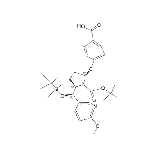 COc1ccc([C@@H](O[Si](C)(C)C(C)(C)C)[C@H]2CC[C@@H](Cc3ccc(C(=O)O)cc3)N2C(=O)OC(C)(C)C)cn1